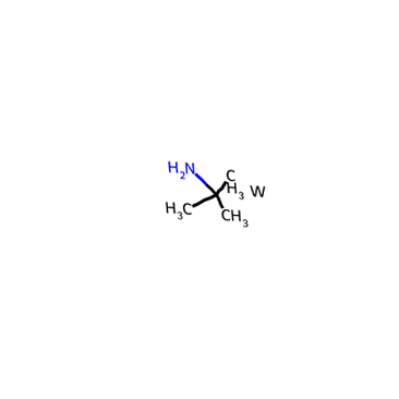 CC(C)(C)N.[W]